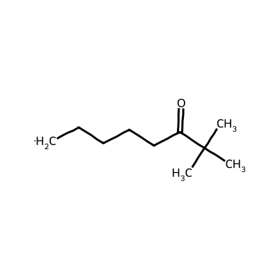 [CH2]CCCCC(=O)C(C)(C)C